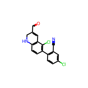 N#Cc1cc(Cl)ccc1-c1ccc2c(c1Cl)C=C(C=O)CN2